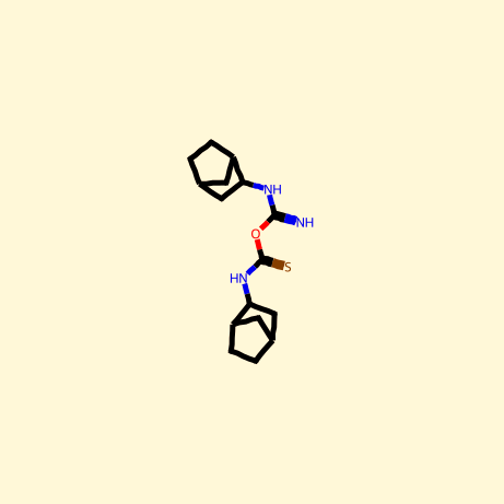 N=C(NC1CC2CCC1C2)OC(=S)NC1CC2CCC1C2